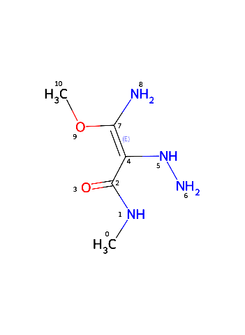 CNC(=O)/C(NN)=C(/N)OC